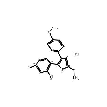 COc1ccc(-c2cc(CN)sc2-c2ccc(Cl)cc2Cl)cc1.Cl